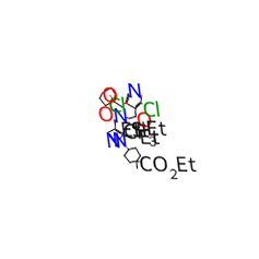 CCOC(=O)C1(C)CCC(n2ncc(C(=O)N(CC(O[Si](CC)(CC)CC)c3c(Cl)cncc3Cl)CC34CCC(CC3)O4)c2C(F)(F)F)CC1